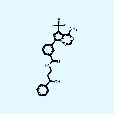 Nc1ncnn2c(-c3cccc(C(=O)NCCC(O)c4ccccc4)c3)cc(C(F)(F)F)c12